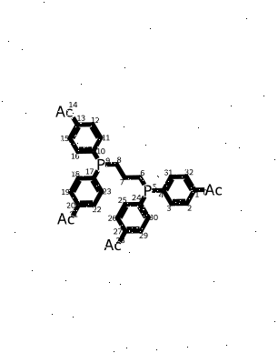 CC(=O)c1ccc(P(CCCP(c2ccc(C(C)=O)cc2)c2ccc(C(C)=O)cc2)c2ccc(C(C)=O)cc2)cc1